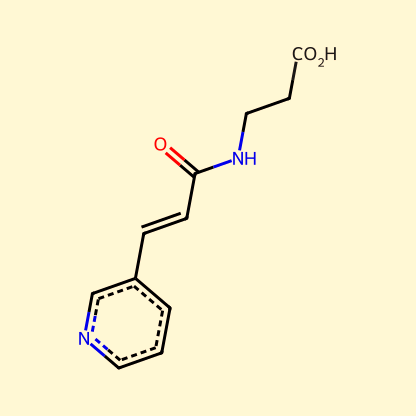 O=C(O)CCNC(=O)/C=C/c1cccnc1